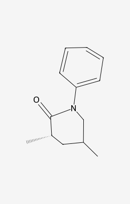 CC1C[C@H](C)C(=O)N(c2ccccc2)C1